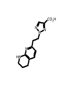 O=C(O)c1cnn(CCc2ccc3c(n2)NCCC3)n1